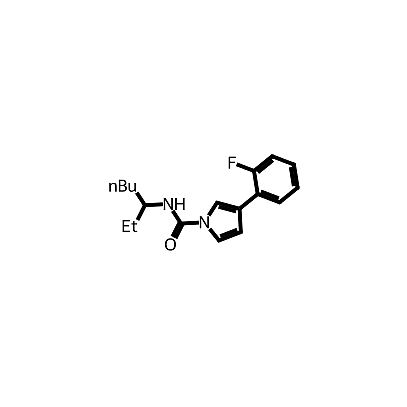 CCCCC(CC)NC(=O)n1ccc(-c2ccccc2F)c1